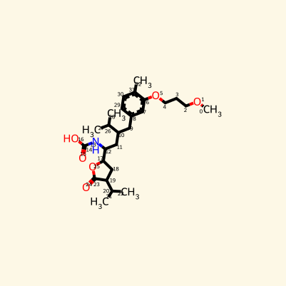 COCCCOc1cc(CC(CC(NC(=O)O)C2CC(C(C)C)C(=O)O2)C(C)C)ccc1C